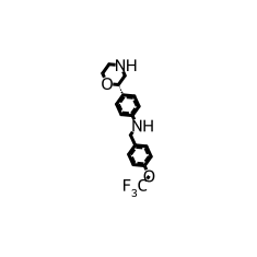 FC(F)(F)Oc1ccc(CNc2ccc([C@H]3CNCCO3)cc2)cc1